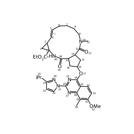 CCOC(=O)C12CC1/C=C/CCCCN(C)C(=O)C1CC(Oc3nc(-n4ccc(C(C)C)n4)nc4c(C)c(OC)ccc34)CC1C(=O)N2